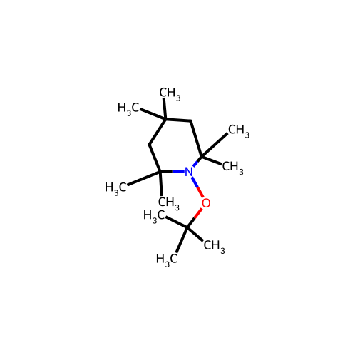 CC1(C)CC(C)(C)N(OC(C)(C)C)C(C)(C)C1